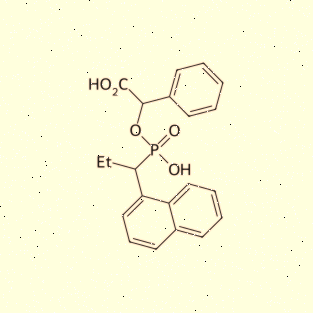 CCC(c1cccc2ccccc12)P(=O)(O)OC(C(=O)O)c1ccccc1